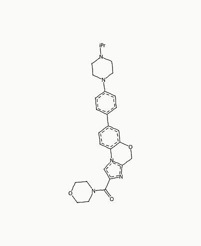 CC(C)N1CCN(c2ccc(-c3ccc4c(c3)OCc3nc(C(=O)N5CCOCC5)cn3-4)cc2)CC1